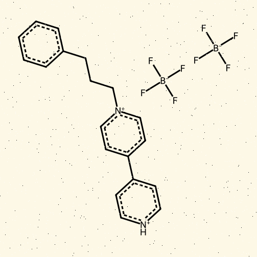 F[B-](F)(F)F.F[B-](F)(F)F.c1ccc(CCC[n+]2ccc(-c3cc[nH+]cc3)cc2)cc1